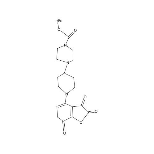 CC(C)(C)OC(=O)N1CCN(C2CCN(C3=CCC(=O)C4=C3C(=O)C(=O)O4)CC2)CC1